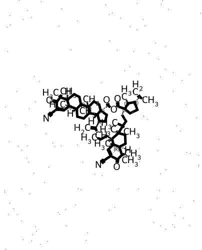 C=C(C)[C@@H]1CC[C@@](CCC(C)(C)[C@]2(C)CC[C@H]3C(C)(C)C(=O)C(C#N)=C[C@]3(C)[C@H]2CCC)(C(=O)OC(=O)[C@]23CC[C@@H](C(=C)C)[C@@H]2C2CC[C@@H]4[C@@]5(C)C=C(C#N)C(=O)C(C)(C)[C@@H]5CC[C@@]4(C)[C@]2(C)CC3)[C@H]1C